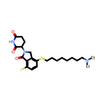 CCN(CC)CCCCCCCCSc1ccc(F)c2c1CN(C1CCC(=O)NC1=O)C2=O